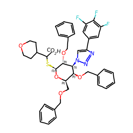 O=C(O)C(S[C@@H]1O[C@H](COCc2ccccc2)[C@H](OCc2ccccc2)[C@H](n2cc(-c3cc(F)c(F)c(F)c3)nn2)[C@H]1OCc1ccccc1)C1CCOCC1